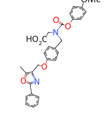 COc1ccc(OC(=O)N(CC(=O)O)Cc2ccc(OCc3nc(-c4ccccc4)oc3C)cc2)cc1